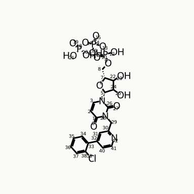 O=c1ccn([C@@H]2O[C@H](COP(=O)(O)OP(=O)(O)OP(=O)(O)O)C(O)C2O)c(=O)n1Cc1cc(-c2ccccc2Cl)ccn1